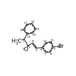 CC(C(=O)/C=C/c1ccc(Br)cc1)c1ccccc1